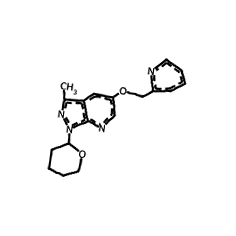 Cc1nn(C2CCCCO2)c2ncc(OCc3ccccn3)cc12